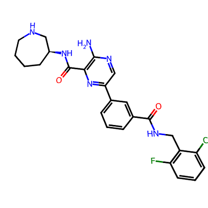 Nc1ncc(-c2cccc(C(=O)NCc3c(F)cccc3Cl)c2)nc1C(=O)N[C@H]1CCCCNC1